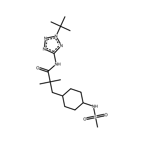 CC(C)(CC1CCC(NS(C)(=O)=O)CC1)C(=O)Nc1nnn(C(C)(C)C)n1